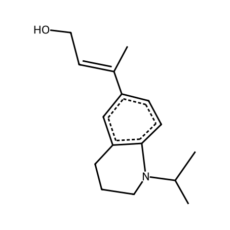 CC(=CCO)c1ccc2c(c1)CCCN2C(C)C